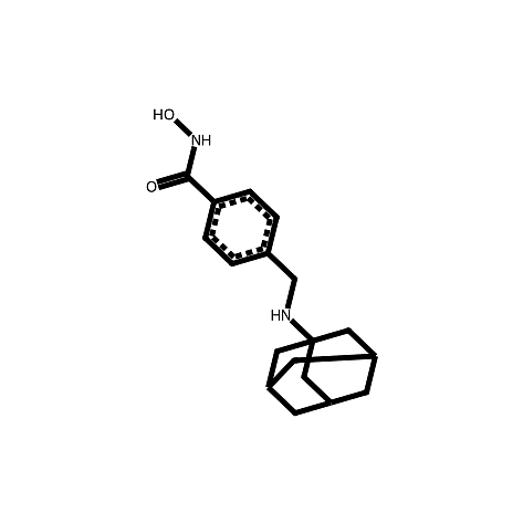 O=C(NO)c1ccc(CNC23CC4CC(CC(C4)C2)C3)cc1